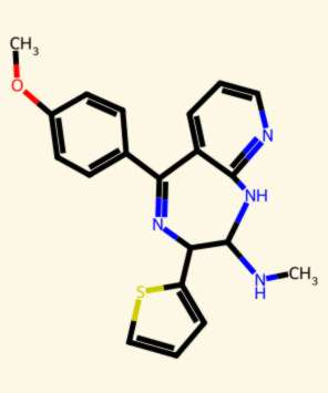 CNC1Nc2ncccc2C(c2ccc(OC)cc2)=NC1c1cccs1